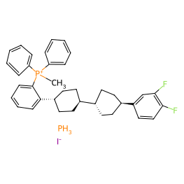 C[P+](c1ccccc1)(c1ccccc1)c1ccccc1[C@H]1CC[C@H]([C@H]2CC[C@H](c3ccc(F)c(F)c3)CC2)CC1.P.[I-]